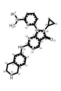 CC(C)N(C)c1cccc(-n2c3nc(Nc4ccc5c(c4)CCNC5)ncc3c(=O)n2C2CC2)n1